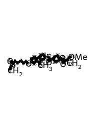 C=COC(=O)CCCCCOc1ccc2c(c1)C(C)c1cc(SC(=O)c3ccc(OC(=O)C(=C)COC)cc3)ccc1-2